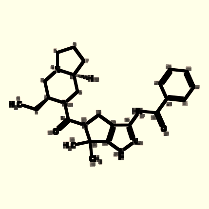 CC[C@H]1CN2CCC[C@H]2CN1C(=O)N1Cc2c(NC(=O)c3ccccc3)n[nH]c2C1(C)C